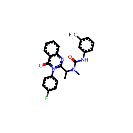 CC(c1nc2ccccc2c(=O)n1-c1ccc(F)cc1)N(C)C(=O)Nc1cccc(C(F)(F)F)c1